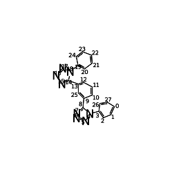 c1ccc(-n2nnnc2-c2cccc(-c3nnnn3-c3ccccc3)c2)cc1